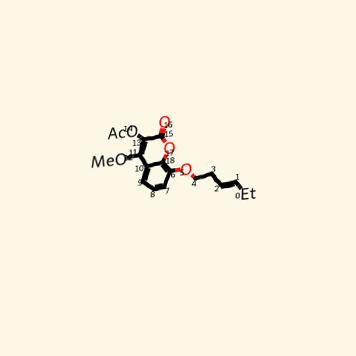 CCC=CCCOc1cccc2c(OC)c(OC(C)=O)c(=O)oc12